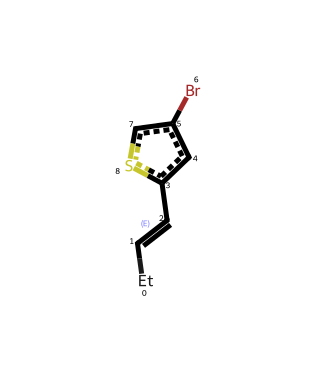 CC/C=C/c1cc(Br)cs1